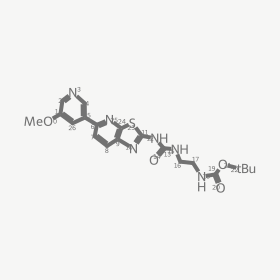 COc1cncc(-c2ccc3nc(NC(=O)NCCNC(=O)OC(C)(C)C)sc3n2)c1